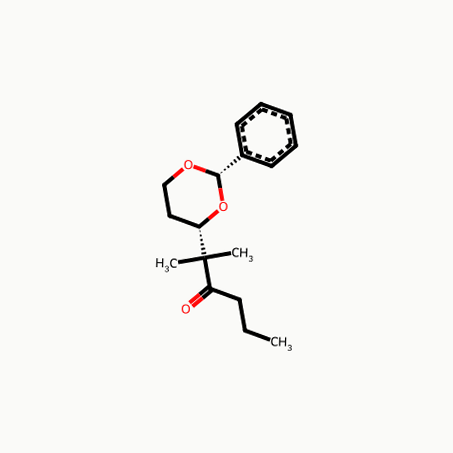 CCCC(=O)C(C)(C)[C@@H]1CCO[C@H](c2ccccc2)O1